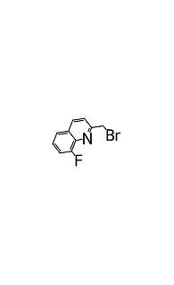 Fc1cccc2ccc(CBr)nc12